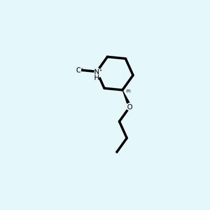 [CH2-][NH+]1CCC[C@@H](OCCC)C1